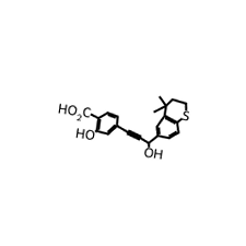 CC1(C)CCSc2ccc(C(O)C#Cc3ccc(C(=O)O)c(O)c3)cc21